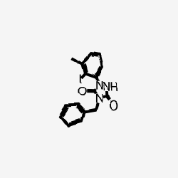 Cc1cccc(-n2[nH]c(=O)n(Cc3ccccc3)c2=O)c1I